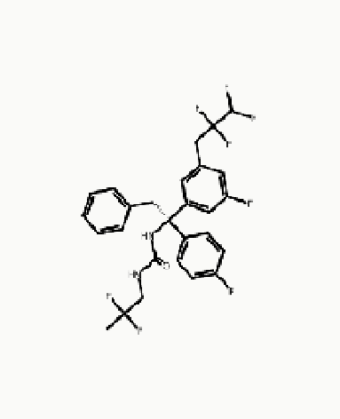 CC(F)(F)CNC(=O)N[C@](Cc1ccccc1)(c1ccc(F)cc1)c1cc(F)cc(CC(F)(F)C(F)F)c1